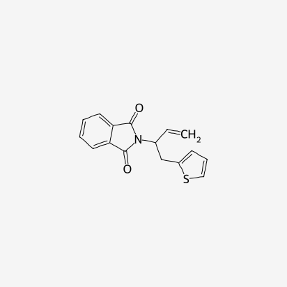 C=CC(Cc1cccs1)N1C(=O)c2ccccc2C1=O